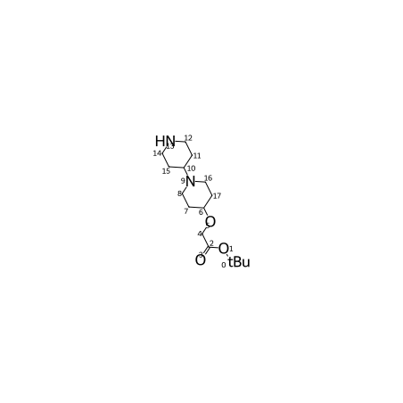 CC(C)(C)OC(=O)COC1CCN(C2CCNCC2)CC1